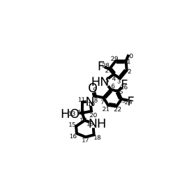 Cc1ccc(Nc2c(C(=O)N3CC(O)(C4CCCCN4)C3)ccc(F)c2F)c(F)c1